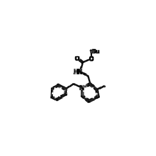 Cc1ccc[n+](Cc2ccccc2)c1CNC(=O)OC(C)(C)C